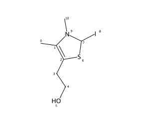 CC1=C(CCO)SC(I)N1C